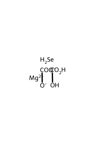 O=C(O)O.O=C([O-])[O-].[Mg+2].[SeH2]